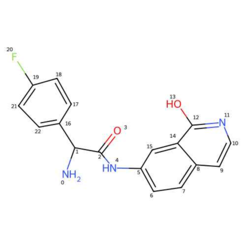 NC(C(=O)Nc1ccc2ccnc(O)c2c1)c1ccc(F)cc1